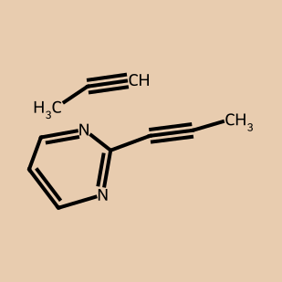 C#CC.CC#Cc1ncccn1